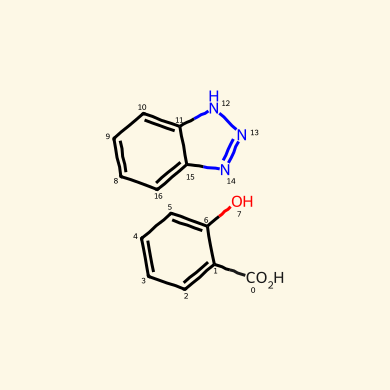 O=C(O)c1ccccc1O.c1ccc2[nH]nnc2c1